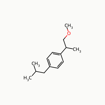 COCC(C)c1ccc(CC(C)C)cc1